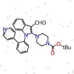 CC(C)(C)OC(=O)N1CCN(c2c(C=O)c3ccccc3n2-c2ccccc2-c2ccncc2)CC1